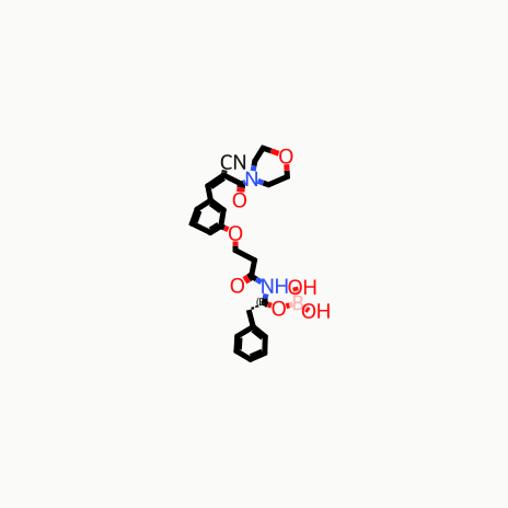 N#CC(=Cc1cccc(OCCC(=O)N[C@@H](Cc2ccccc2)OB(O)O)c1)C(=O)N1CCOCC1